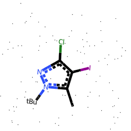 Cc1c(I)c(Cl)nn1C(C)(C)C